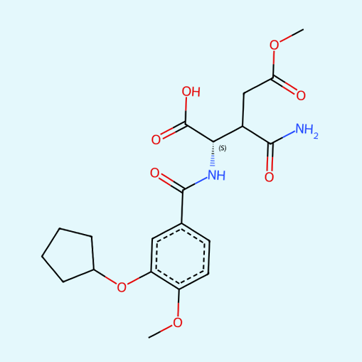 COC(=O)CC(C(N)=O)[C@H](NC(=O)c1ccc(OC)c(OC2CCCC2)c1)C(=O)O